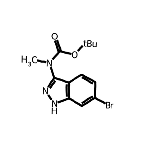 CN(C(=O)OC(C)(C)C)c1n[nH]c2cc(Br)ccc12